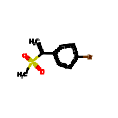 C=C(c1ccc(Br)cc1)S(C)(=O)=O